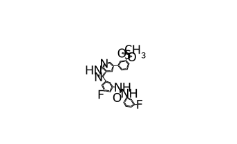 CS(=O)(=O)c1cccc(-c2cnc3[nH]nc(-c4cc(F)cc(NC(=O)Nc5cccc(F)c5)c4)c3c2)c1